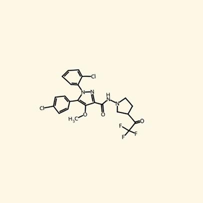 COc1c(C(=O)NN2CCC(C(=O)C(F)(F)F)C2)nn(-c2ccccc2Cl)c1-c1ccc(Cl)cc1